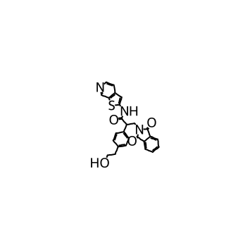 O=C(Nc1cc2ccncc2s1)C(CN1C(=O)c2ccccc2C1=O)c1ccc(CCO)cc1